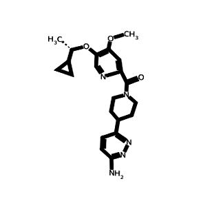 COc1cc(C(=O)N2CCC(c3ccc(N)nn3)CC2)ncc1O[C@@H](C)C1CC1